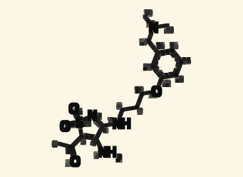 CC(=O)C1=C(N)C(NCCCOc2cccc(CN(C)C)c2)=NS1(=O)=O